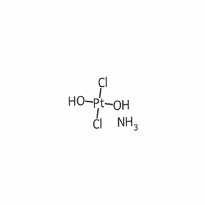 N.[OH][Pt]([OH])([Cl])[Cl]